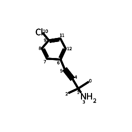 CC(C)(N)C#Cc1ccc(Cl)cc1